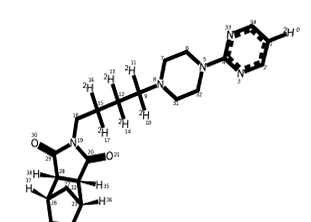 [2H]c1cnc(N2CCN(C([2H])([2H])C([2H])([2H])C([2H])([2H])CN3C(=O)[C@@H]4[C@@H]5CC[C@@H](C5)[C@@H]4C3=O)CC2)nc1